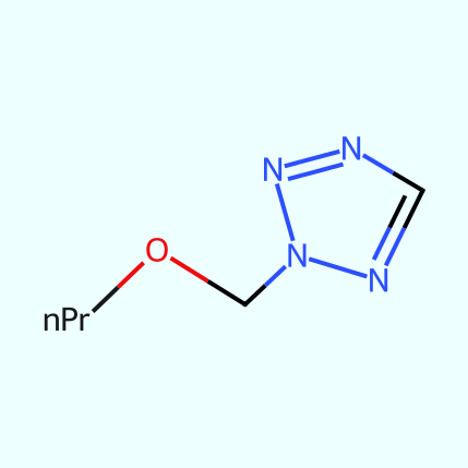 CCCOCn1ncnn1